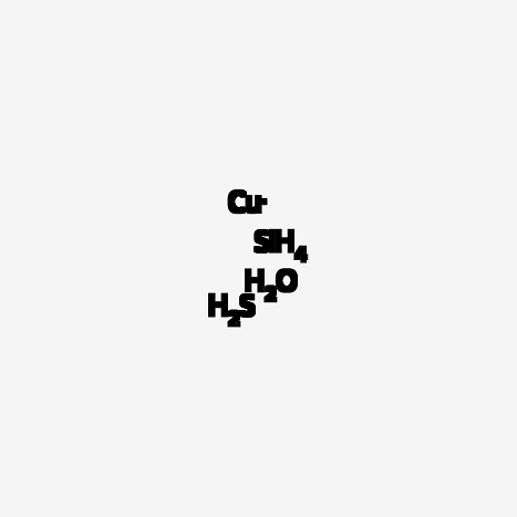 O.S.[Cu].[SiH4]